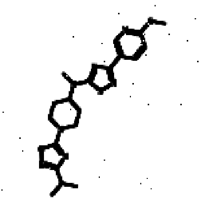 CSc1ccc(-c2nsc(N(C)C3CCN(c4nc(C(C)C)no4)CC3)n2)cn1